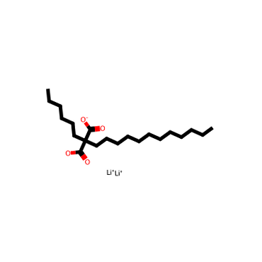 CCCCCCCCCCCCC(CCCCCC)(C(=O)[O-])C(=O)[O-].[Li+].[Li+]